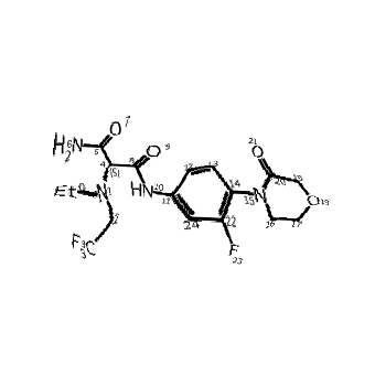 CCN(CC(F)(F)F)[C@@H](C(N)=O)C(=O)Nc1ccc(N2CCOCC2=O)c(F)c1